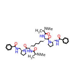 CN[C@@H](C)C(=O)N[C@@H](CCCCCC[C@H](NC(=O)[C@H](C)NC)C(=O)N1CCC[C@H]1CNC(=O)c1ccccc1)C(=O)N1CCC[C@H]1CNC(=O)c1ccccc1